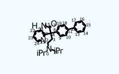 CC(C)N(CCC(C(N)=O)(c1ccc(-c2ccccc2)cc1)c1ccccn1)C(C)C